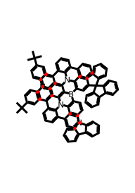 CC(C)(C)c1ccc(N(c2ccc(C(C)(C)C)cc2)c2cc3c4c(c2)N(c2c(-c5ccccc5)cccc2-c2ccccc2)c2cc5c(cc2B4c2ccc(-n4c6ccccc6c6ccccc64)cc2N3c2c(-c3ccccc3)cccc2-c2ccccc2)C2(c3ccccc3-c3ccccc32)c2ccccc2-5)cc1